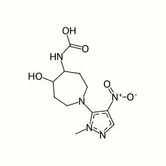 Cn1ncc([N+](=O)[O-])c1N1CCC(O)C(NC(=O)O)CC1